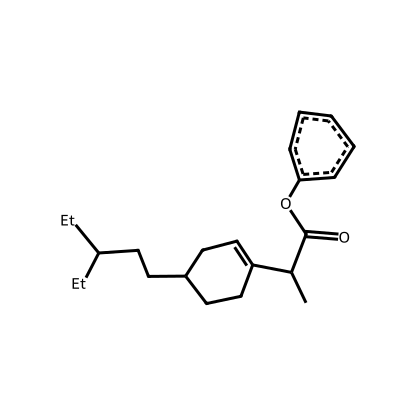 CCC(CC)CCC1CC=C(C(C)C(=O)Oc2ccccc2)CC1